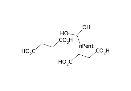 CCCCCC(O)O.O=C(O)CCC(=O)O.O=C(O)CCC(=O)O